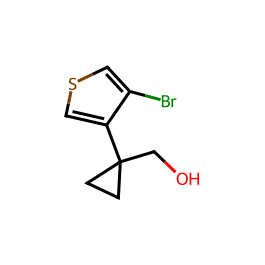 OCC1(c2cscc2Br)CC1